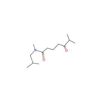 CC(C)CN(C)C(=O)CCCC(=O)C(C)C